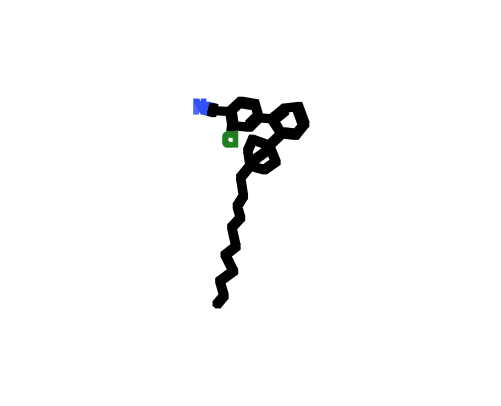 CCCCCCCCCCCC12CCC(c3ccccc3-c3ccc(C#N)c(Cl)c3)(CC1)CC2